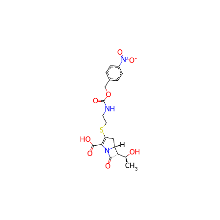 C[C@H](O)[C@@H]1C(=O)N2C(C(=O)O)=C(SCCNC(=O)OCc3ccc([N+](=O)[O-])cc3)C[C@H]12